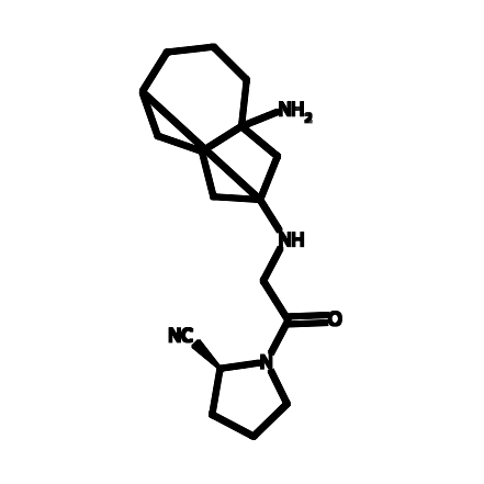 N#C[C@@H]1CCCN1C(=O)CNC12CC3CC1CCCC3(N)C2